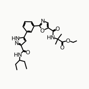 CCOC(=O)C(C)(C)NC(=O)c1cnc(-c2cccc(-c3cc(C(=O)NC(CC)CC)n[nH]3)c2)o1